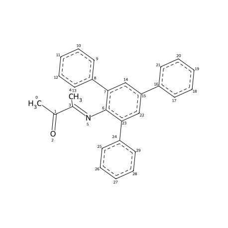 CC(=O)C(C)=Nc1c(-c2ccccc2)cc(-c2ccccc2)cc1-c1ccccc1